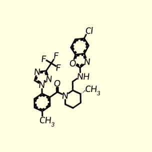 Cc1ccc(-n2cnc(C(F)(F)F)n2)c(C(=O)N2CCC[C@@H](C)C2CNc2nc3cc(Cl)ccc3o2)c1